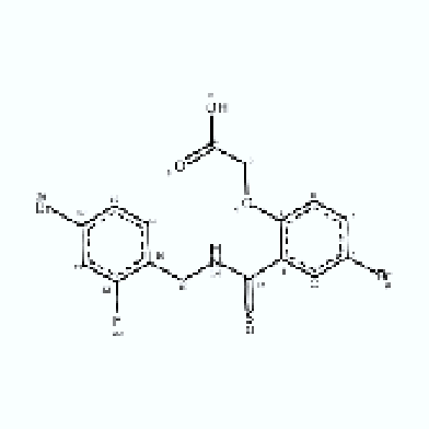 O=C(O)COc1ccc(Br)cc1C(=S)NCc1ccc(Br)cc1F